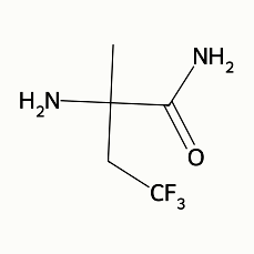 CC(N)(CC(F)(F)F)C(N)=O